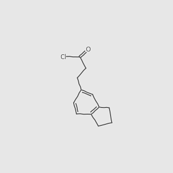 O=C(Cl)CCc1ccc2c(c1)CCC2